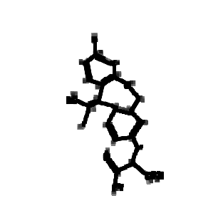 CCCC(=O)C(Cc1ccc2c(c1)COc1cc(F)ccc1C2=C(C)C#N)C(=O)O